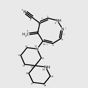 C=C1/C(C#N)=C\N/N=C\C=C/1N1CCCC2(CCCCN2)C1